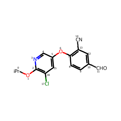 CC(C)Oc1ncc(Oc2ccc(C=O)cc2C#N)cc1Cl